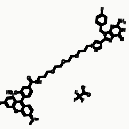 CN(C)c1ccc2c(-c3ccc(C(=O)NCCCOCCOCCOCCCn4cc(-c5nc6c(=O)[nH]c(N)nc6n5Cc5ccc(F)cc5)cn4)cc3C(=O)O)c3ccc(=[N+](C)C)cc-3oc2c1.O=C([O-])C(F)(F)F